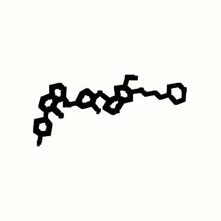 COc1cc2c(Oc3ccc(Nc4nccc5ccn(-c6ccc(F)cc6)c(=O)c45)cc3F)ccnc2cc1OCCCN1CCOCC1